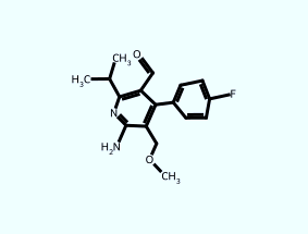 COCc1c(N)nc(C(C)C)c(C=O)c1-c1ccc(F)cc1